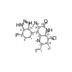 C=Cc1nc2c(-c3ccc(F)c4[nH]ncc34)c(N)c(=O)[nH]c2c(Cl)c1C